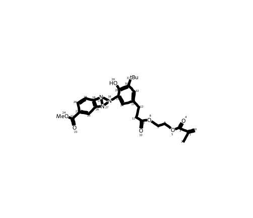 C=C(C)C(=O)OCCOC(=O)CCc1cc(-n2n3c4ccc(C(=O)OC)cc4n23)c(O)c(C(C)(C)C)c1